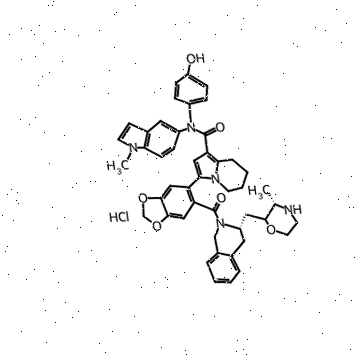 C[C@@H]1NCCOC1C[C@@H]1Cc2ccccc2CN1C(=O)c1cc2c(cc1-c1cc(C(=O)N(c3ccc(O)cc3)c3ccc4c(ccn4C)c3)c3n1CCCC3)OCO2.Cl